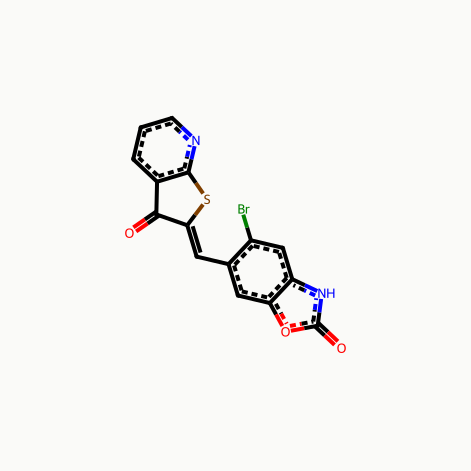 O=C1/C(=C/c2cc3oc(=O)[nH]c3cc2Br)Sc2ncccc21